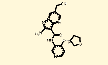 N#CCc1cnc2c(C(=O)Nc3cnccc3O[C@@H]3CCOC3)c(N)nn2c1